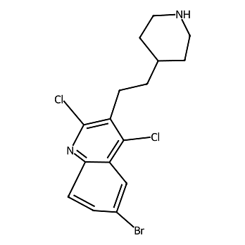 Clc1nc2ccc(Br)cc2c(Cl)c1CCC1CCNCC1